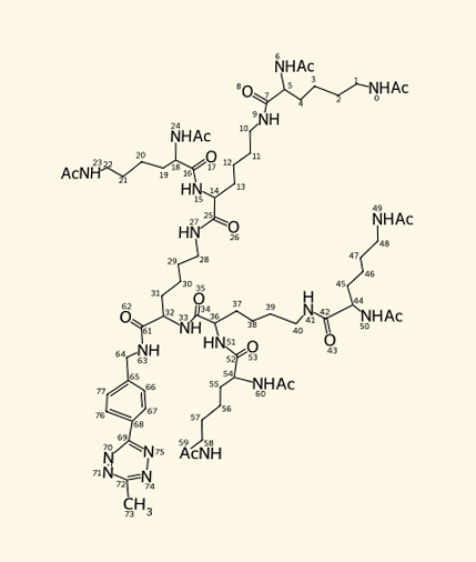 CC(=O)NCCCCC(NC(C)=O)C(=O)NCCCCC(NC(=O)C(CCCCNC(C)=O)NC(C)=O)C(=O)NCCCCC(NC(=O)C(CCCCNC(=O)C(CCCCNC(C)=O)NC(C)=O)NC(=O)C(CCCCNC(C)=O)NC(C)=O)C(=O)NCc1ccc(-c2nnc(C)nn2)cc1